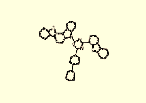 c1ccc(-c2ccc(-c3nc(-c4cccc5c4sc4ccccc45)nc(-n4c5ccccc5c5c6sc7ccccc7c6ccc54)n3)cc2)cc1